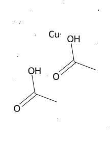 CC(=O)O.CC(=O)O.[Cu]